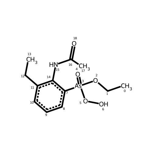 CCO[As](=O)(OO)c1cccc(CC)c1NC(C)=O